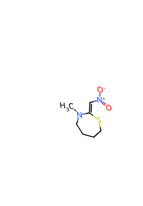 CN1CCCCS/C1=C\[N+](=O)[O-]